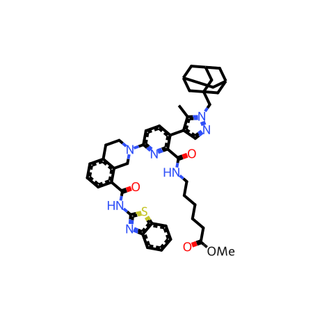 COC(=O)CCCCCNC(=O)c1nc(N2CCc3cccc(C(=O)Nc4nc5ccccc5s4)c3C2)ccc1-c1cnn(CC23CC4CC(CC(C4)C2)C3)c1C